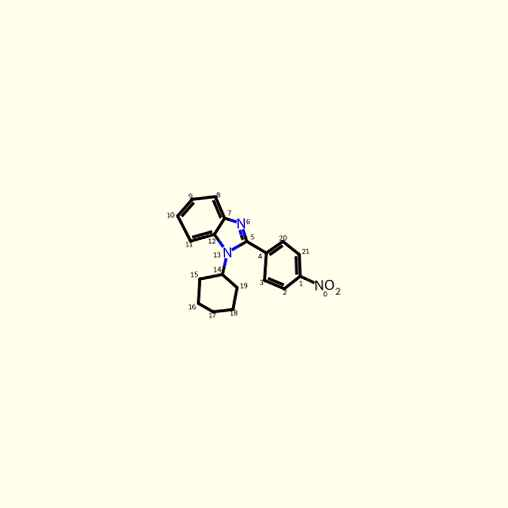 O=[N+]([O-])c1ccc(-c2nc3ccccc3n2C2CCCCC2)cc1